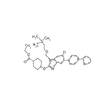 CCOC(=O)C1CCC(Oc2nc3cc(-c4ccc(-c5ccccc5)cc4)c(Cl)cc3n2COCC[Si](C)(C)C)CC1